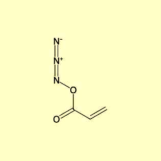 C=CC(=O)ON=[N+]=[N-]